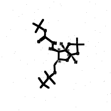 CC(C)(C)OC(=O)NN[C@H]1[C@H]2OC(C)(C)O[C@H]2O[C@@H]1CO[Si](C)(C)C(C)(C)C